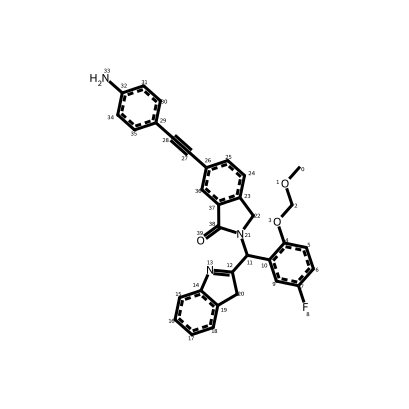 COCOc1ccc(F)cc1C(C1=Nc2ccccc2C1)N1Cc2ccc(C#Cc3ccc(N)cc3)cc2C1=O